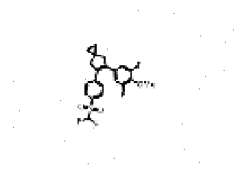 COc1c(F)cc(C2=C(c3ccc(S(=O)(=O)C(F)F)cc3)CC3(CC3)C2)cc1F